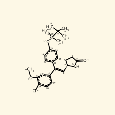 COc1nc(C(=C[C@H]2CCC(=O)N2)c2ccc(O[Si](C)(C)C(C)(C)C)cc2)ccc1Cl